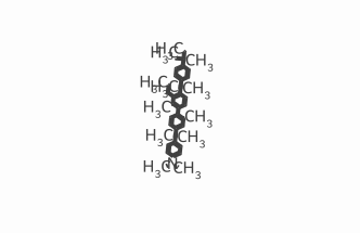 CCCc1c(C(C)(C)c2ccc(C(C)(CC)CC)cc2)ccc(-c2ccc(C(C)(C)c3ccc(N(C)C)cc3)cc2C)c1C